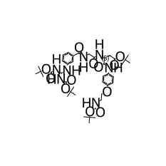 CC(C)(C)OC(=O)C[C@H](NC(=O)CNC(=O)c1cccc(NC(NC(=O)OC(C)(C)C)NC(=O)OC(C)(C)C)c1)C(=O)Nc1ccc(OCCNC(=O)OC(C)(C)C)cc1